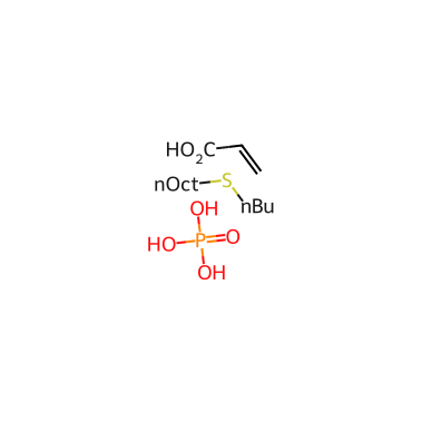 C=CC(=O)O.CCCCCCCCSCCCC.O=P(O)(O)O